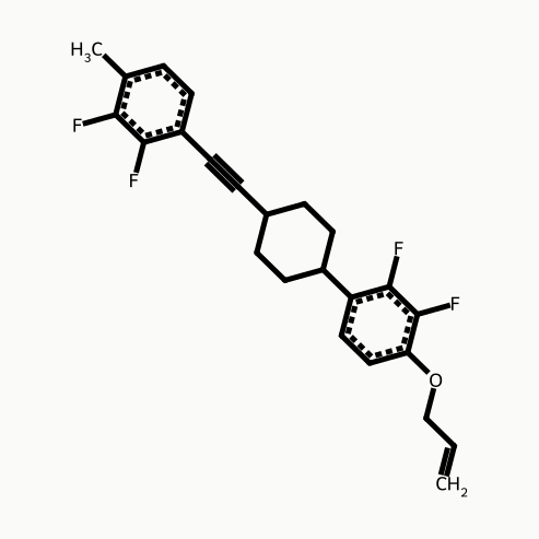 C=CCOc1ccc(C2CCC(C#Cc3ccc(C)c(F)c3F)CC2)c(F)c1F